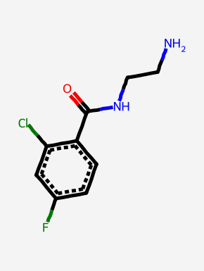 NCCNC(=O)c1ccc(F)cc1Cl